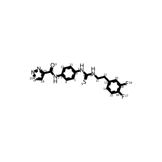 O=C(Nc1ccc(NC(=S)NCCc2ccc(F)c(F)c2)cc1)c1csnn1